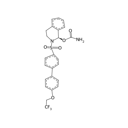 NC(=O)O[C@@H]1c2ccccc2CCN1S(=O)(=O)c1ccc(-c2ccc(OCC(F)(F)F)cc2)cc1